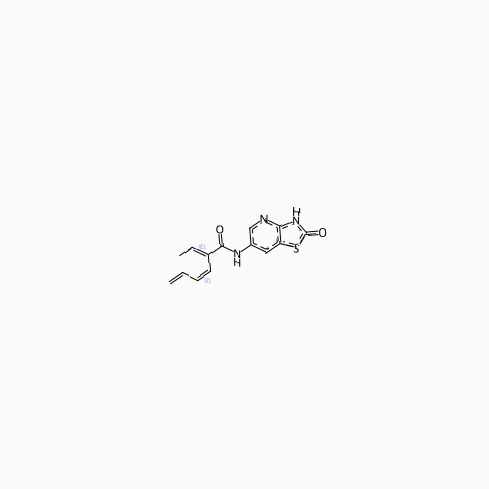 C=C/C=C\C(=C/C)C(=O)Nc1cnc2[nH]c(=O)sc2c1